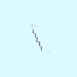 CC(C)(C)CCCCCCCCCCOC(C)(C)C